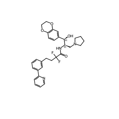 O=C(N[C@H](CN1CCCC1)[C@H](O)c1ccc2c(c1)OCCO2)C(F)(F)CCc1cccc(-c2ccccn2)c1